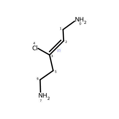 NC/C=C(\Cl)CCN